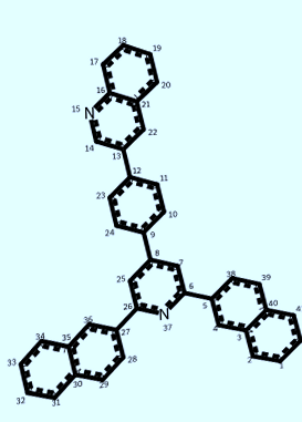 c1ccc2cc(-c3cc(-c4ccc(-c5cnc6ccccc6c5)cc4)cc(-c4ccc5ccccc5c4)n3)ccc2c1